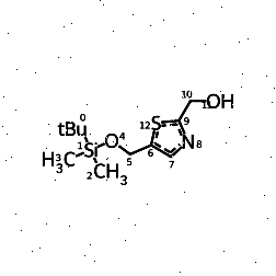 CC(C)(C)[Si](C)(C)OCc1cnc(CO)s1